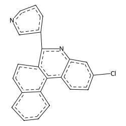 Clc1ccc2c(c1)nc(-c1cccnc1)c1ccc3ccccc3c12